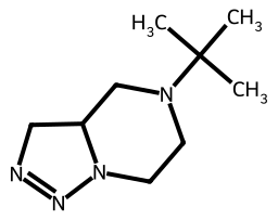 CC(C)(C)N1CCN2N=NCC2C1